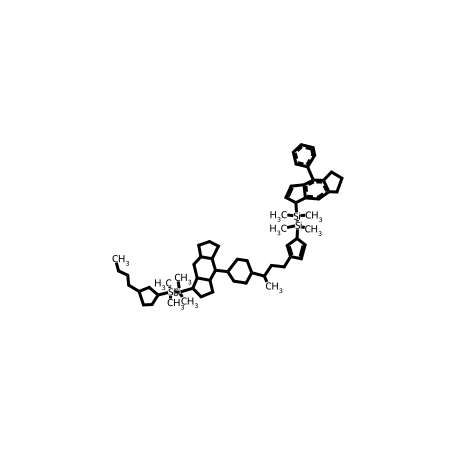 CCCCC1CCC([Si](C)(C)[Si](C)(C)C2CCC3C2CC2CCCC2C3C2CCC(C(C)CCC3=CC([Si](C)(C)[Si](C)(C)C4C=Cc5c4cc4c(c5-c5ccccc5)CCC4)C=C3)CC2)C1